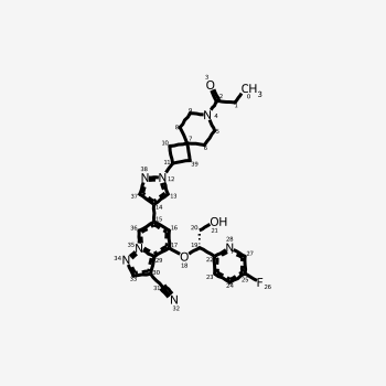 CCC(=O)N1CCC2(CC1)CC(n1cc(-c3cc(O[C@H](CO)c4ccc(F)cn4)c4c(C#N)cnn4c3)cn1)C2